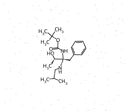 CC(C)CN[C@@](Cc1ccccc1)(NC(=O)OC(C)(C)C)[C@@H](C)O